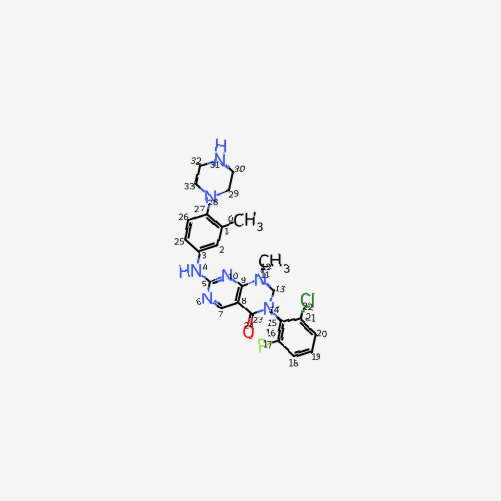 Cc1cc(Nc2ncc3c(n2)N(C)CN(c2c(F)cccc2Cl)C3=O)ccc1N1CCNCC1